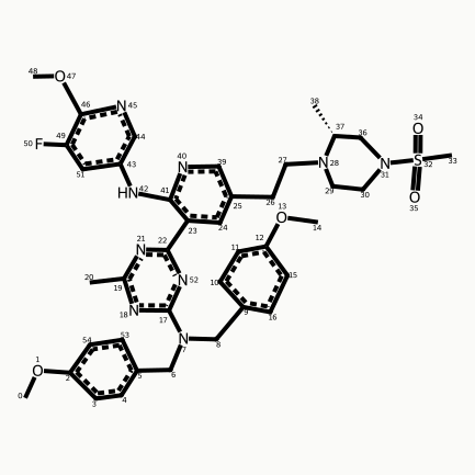 COc1ccc(CN(Cc2ccc(OC)cc2)c2nc(C)nc(-c3cc(CCN4CCN(S(C)(=O)=O)C[C@H]4C)cnc3Nc3cnc(OC)c(F)c3)n2)cc1